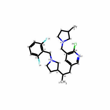 CC(C)C1CCN(Cc2cc(CC(C)C3CCN(Cc4c(F)cccc4F)C3)cnc2Cl)C1